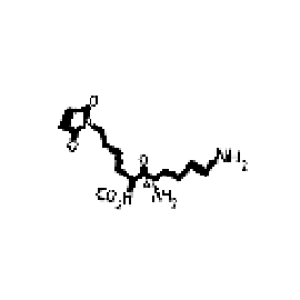 NCCCC[C@H](N)C(=O)C(CCCCN1C(=O)C=CC1=O)C(=O)O